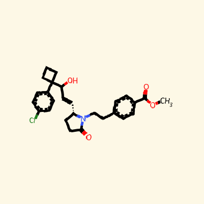 COC(=O)c1ccc(CCN2C(=O)CC[C@@H]2/C=C/C(O)C2(c3ccc(Cl)cc3)CCC2)cc1